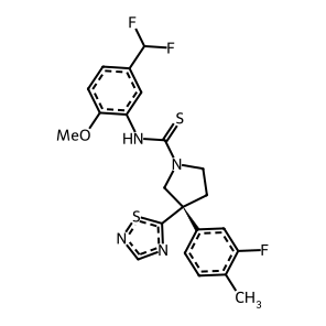 COc1ccc(C(F)F)cc1NC(=S)N1CC[C@](c2ccc(C)c(F)c2)(c2ncns2)C1